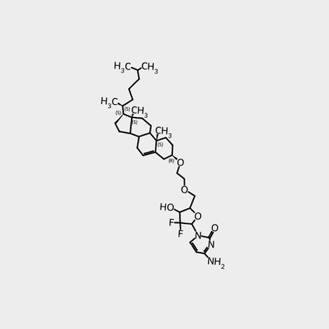 CC(C)CCC[C@H](C)[C@@H]1CCC2C3CC=C4C[C@H](OCCOCC5OC(n6ccc(N)nc6=O)C(F)(F)C5O)CC[C@@]4(C)C3CC[C@]21C